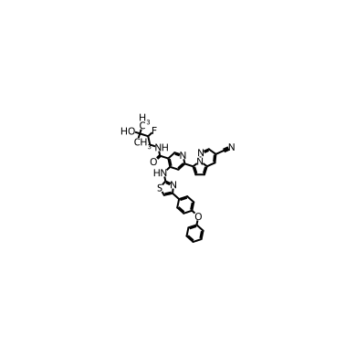 CC(C)(O)C(F)CNC(=O)c1cnc(-c2ccc3cc(C#N)cnn23)cc1Nc1nc(-c2ccc(Oc3ccccc3)cc2)cs1